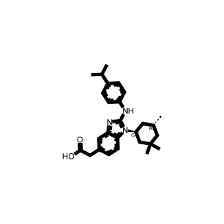 CC(C)c1ccc(Nc2nc3cc(CC(=O)O)ccc3n2[C@H]2C[C@H](C)CC(C)(C)C2)cc1